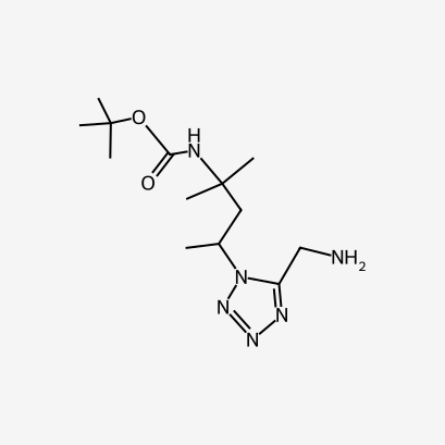 CC(CC(C)(C)NC(=O)OC(C)(C)C)n1nnnc1CN